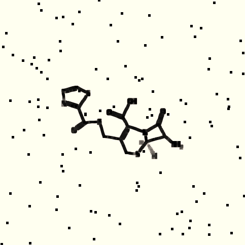 NC1C(=O)N2C(C(=O)O)=C(CSC(=O)c3nccs3)CS[C@H]12